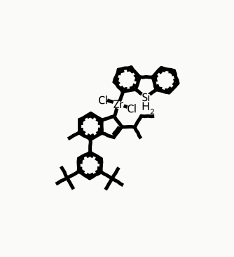 CCC(C)C1=Cc2c(ccc(C)c2-c2cc(C(C)(C)C)cc(C(C)(C)C)c2)[CH]1[Zr]([Cl])([Cl])[c]1cccc2c1[SiH2]c1ccccc1-2